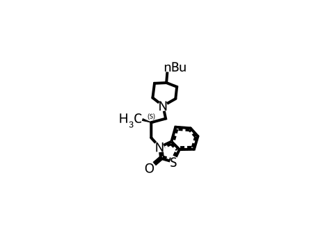 CCCCC1CCN(C[C@H](C)Cn2c(=O)sc3ccccc32)CC1